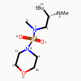 CN[C@H](CN(C)S(=O)(=O)N1CCOCC1)C(C)(C)C